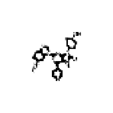 [C-]#[N+]c1ccc2ncn(-c3nc(-c4ccncc4)c4c(n3)n([C@H]3CC[C@H](O)CC3)c(=O)n4C)c2c1